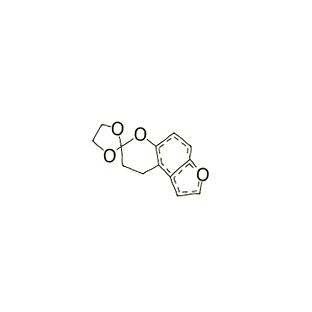 c1cc2c3c(ccc2o1)OC1(CC3)OCCO1